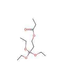 CCO[Si](CCOC(=O)CC)(OCC)OCC